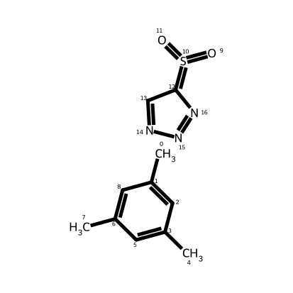 Cc1cc(C)cc(C)c1.O=S(=O)=C1C=NN=N1